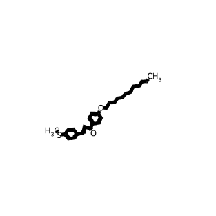 CCCCCCCCCCCCOc1ccc(C(=O)C=Cc2ccc(SC)cc2)cc1